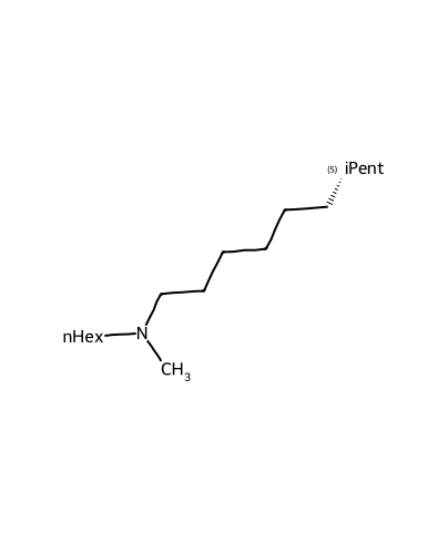 CCCCCCN(C)CCCCCC[C@@H](C)CCC